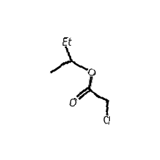 CCC(C)OC(=O)CCl